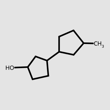 CC1CCC(C2CCC(O)C2)C1